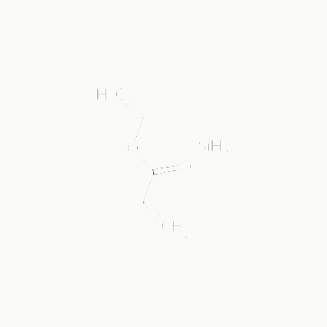 C=COC(=O)C=C.[SiH4]